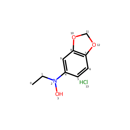 CCN(O)c1ccc2c(c1)OCO2.Cl